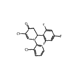 O=C1CC(c2c(F)cc(F)cc2F)N(c2ccccc2Cl)C=C1Cl